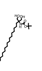 CCCCCCCCCCCCCCCCC(CO)(CO)NC(=O)OC(C)(C)C